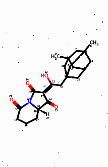 CC12CC3CC(C)(C1)CC(C/C(O)=C1\C(=O)[C@@H]4CCCC(=O)N4C1=O)(C3)C2